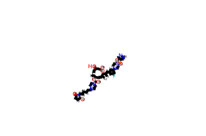 C/C(=C\c1cc(F)cc(N2CCN(S(=O)(=O)c3cnn(C)c3)CC2)c1)C1OC(=O)CC(O)CCC(C)C(OC(=O)N2CCN(CCCCCCN3C(=O)C=CC3=O)CC2)C=CC1C